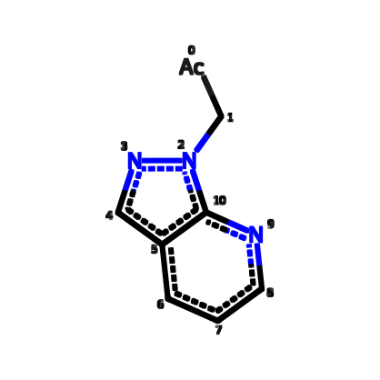 CC(=O)Cn1ncc2cccnc21